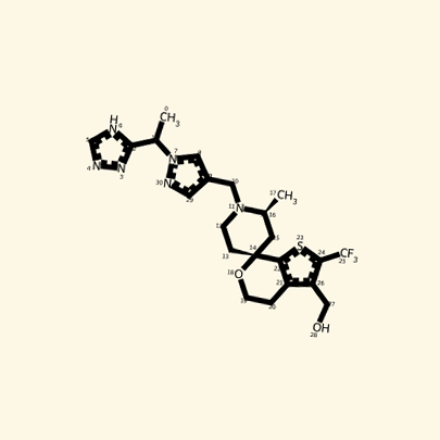 CC(c1nnc[nH]1)n1cc(CN2CC[C@]3(C[C@@H]2C)OCCc2c3sc(C(F)(F)F)c2CO)cn1